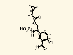 NC(=O)c1cc(C(COC(=O)NC2CC2)NC(=O)O)ccc1Cl